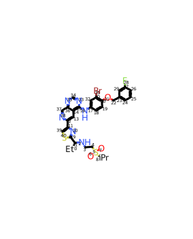 CCC(NCCS(=O)(=O)C(C)C)c1nc(-c2cc3c(Nc4ccc(OCc5cccc(F)c5)c(Br)c4)ncnc3cn2)cs1